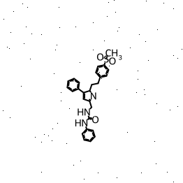 CS(=O)(=O)c1ccc(CCC2N=C(CNC(=O)Nc3ccccc3)C=C2c2ccccc2)cc1